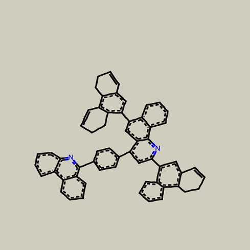 C1=Cc2cc(-c3cc4c(-c5ccc(-c6nc7ccccc7c7ccccc67)cc5)cc(-c5cc6c(c7ccccc57)CCC=C6)nc4c4ccccc34)c3c(c2CC1)C=CCC3